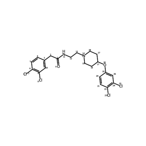 O=C(Cc1ccc(Cl)c(Cl)c1)NCCN1CCC(Oc2ccc(Cl)c(Cl)c2)CC1